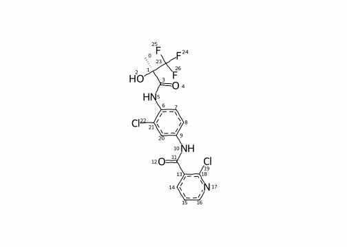 C[C@@](O)(C(=O)Nc1ccc(NC(=O)c2cccnc2Cl)cc1Cl)C(F)(F)F